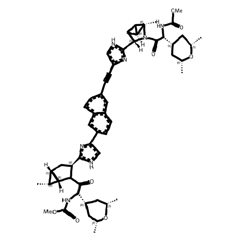 COC(=O)NC(C(=O)C1[C@@H]2[C@H](C)[C@@H]2C[C@H]1c1nc(-c2ccc3cc(C#Cc4c[nH]c([C@@H]5C6C7[C@H]6[C@@H]7N5C(=O)C(NC(=O)OC)[C@H]5C[C@@H](C)O[C@@H](C)C5)n4)ccc3c2)c[nH]1)[C@H]1C[C@@H](C)O[C@@H](C)C1